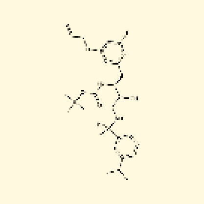 C=CCOc1cc(F)cc(C[C@H](NC(=O)OC(C)(C)C)[C@@H](O)CNC2(c3cccc(C(C)C)c3)CC2)c1